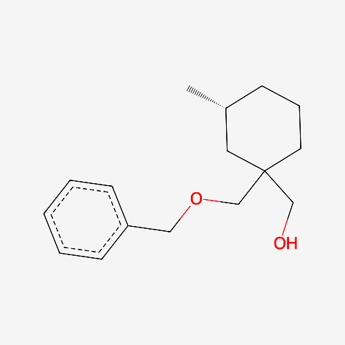 C[C@@H]1CCCC(CO)(COCc2ccccc2)C1